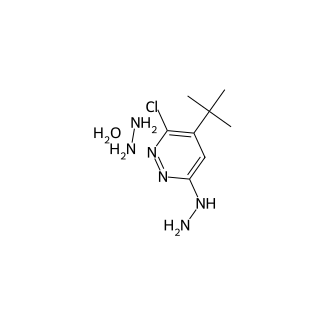 CC(C)(C)c1cc(NN)nnc1Cl.NN.O